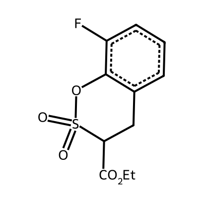 CCOC(=O)C1Cc2cccc(F)c2OS1(=O)=O